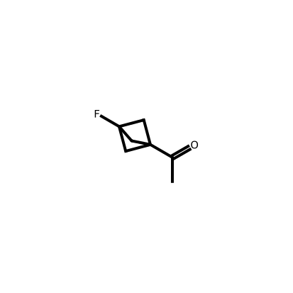 CC(=O)C12CC(F)(C1)C2